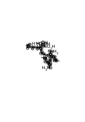 CCn1nc(C)cc1C(=O)Nc1nc2cc(C(N)=O)cnc2n1C/C=C/Cn1c2nc(-c3cc(C)nn3CC)ncc2c2cc(C(N)=O)cc(OCCC3CN(C(=O)OCc4ccc(O[C@@H]5O[C@H](C(=O)O)[C@@H](O)[C@H](O)[C@H]5O)c(NC(=O)CCNC(=O)CCN5C(=O)C=CC5=O)c4)C3)c21